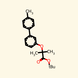 Cc1ccc(-c2cccc(OC(C)(C)C(=O)OC(C)(C)C)c2)cc1